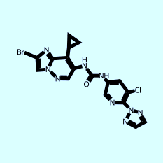 O=C(Nc1cnc(-n2nccn2)c(Cl)c1)Nc1cnn2cc(Br)nc2c1C1CC1